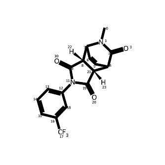 CN1C(=O)C2C=CC1[C@H]1C(=O)N(c3cccc(C(F)(F)F)c3)C(=O)[C@@H]21